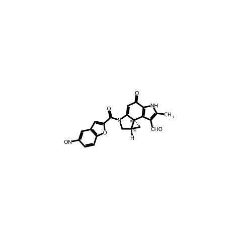 Cc1[nH]c2c(c1C=O)[C@@]13C[C@@H]1CN(C(=O)c1cc4cc(N=O)ccc4o1)C3=CC2=O